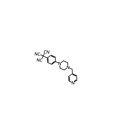 N#CC(C#N)(C#N)c1ccc(N2CCN(Cc3ccncc3)CC2)cc1